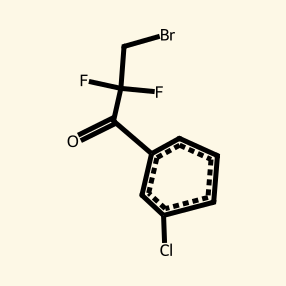 O=C(c1cccc(Cl)c1)C(F)(F)CBr